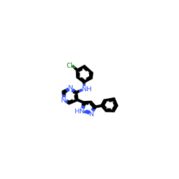 Clc1cccc(Nc2ncncc2-c2cc(-c3ccccc3)n[nH]2)c1